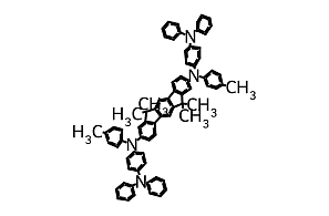 Cc1ccc(N(c2ccc(N(c3ccccc3)c3ccccc3)cc2)c2ccc3c(c2)C(C)(C)c2cc4c(cc2-3)C(C)(C)c2cc(N(c3ccc(C)cc3)c3ccc(N(c5ccccc5)c5ccccc5)cc3)ccc2-4)cc1